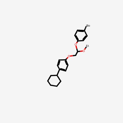 CCOC(COc1ccc(C2CCCCC2)cc1)Oc1ccc(C(C)CC)cc1